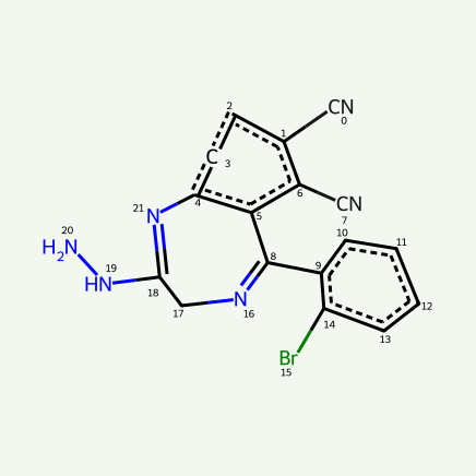 N#Cc1ccc2c(c1C#N)C(c1ccccc1Br)=NCC(NN)=N2